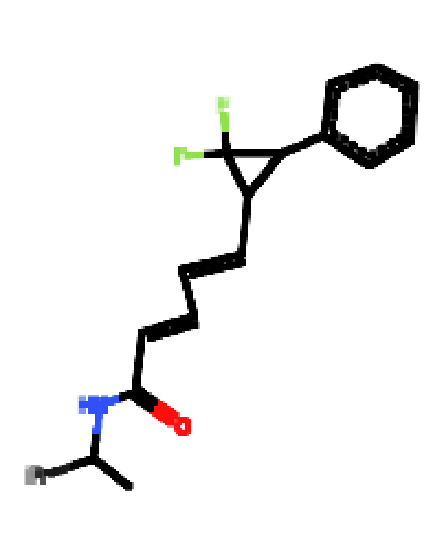 CC(C)C(C)NC(=O)C=CC=CC1C(c2ccccc2)C1(F)F